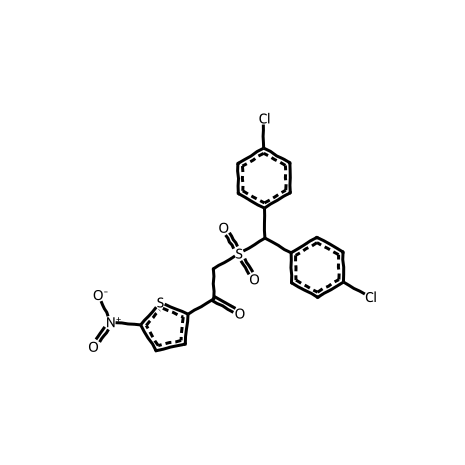 O=C(CS(=O)(=O)C(c1ccc(Cl)cc1)c1ccc(Cl)cc1)c1ccc([N+](=O)[O-])s1